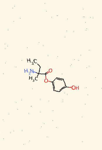 CCC(C)(N)C(=O)Oc1ccc(O)cc1